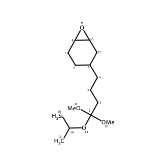 COC(CCCC1CCC2OC2C1)(OC)OC(C)[SiH3]